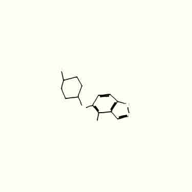 CCc1c(OC2CCC(NC(C)=O)CC2)ccc2[nH]ncc12